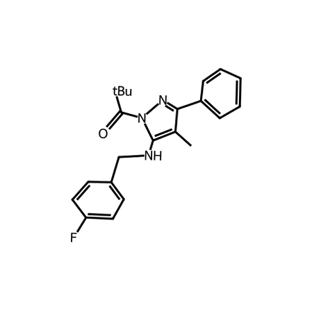 Cc1c(-c2ccccc2)nn(C(=O)C(C)(C)C)c1NCc1ccc(F)cc1